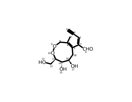 C#C/C=C(C=O)\C1=C(/C)COO[C@H](CO)[C@@H](O)[C@H](O)C1